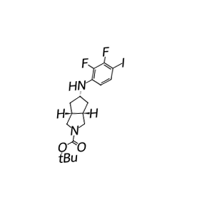 CC(C)(C)OC(=O)N1C[C@H]2C[C@@H](Nc3ccc(I)c(F)c3F)C[C@H]2C1